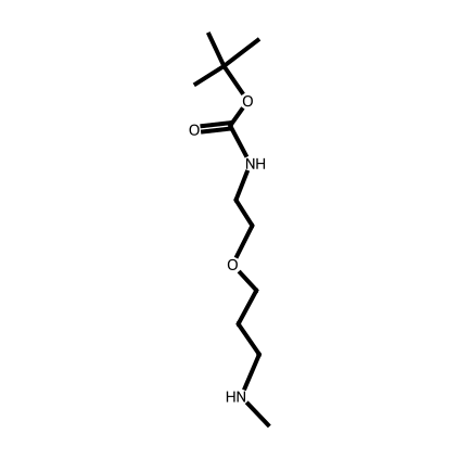 CNCCCOCCNC(=O)OC(C)(C)C